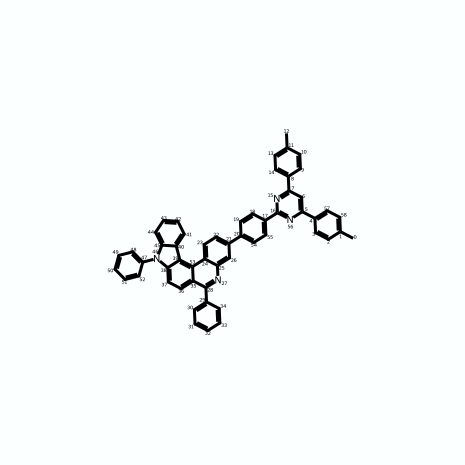 Cc1ccc(-c2cc(-c3ccc(C)cc3)nc(-c3ccc(-c4ccc5c(c4)nc(-c4ccccc4)c4ccc6c(c7ccccc7n6-c6ccccc6)c45)cc3)n2)cc1